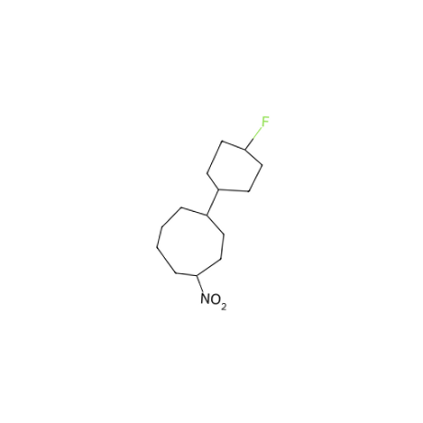 O=[N+]([O-])C1CCCCC(C2CCC(F)CC2)CC1